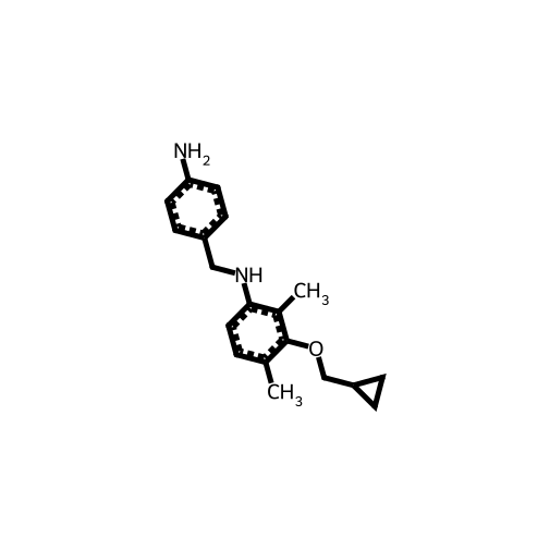 Cc1ccc(NCc2ccc(N)cc2)c(C)c1OCC1CC1